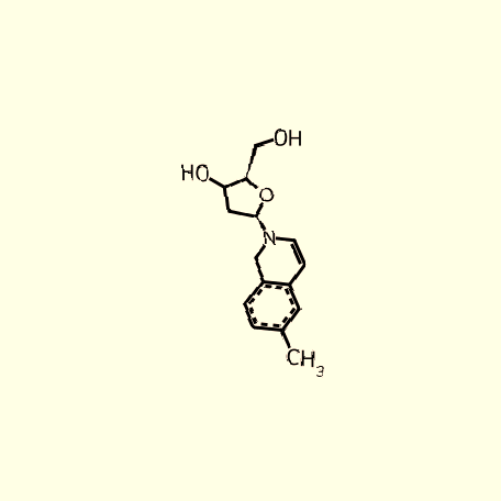 Cc1ccc2c(c1)C=CN([C@H]1CC(O)[C@@H](CO)O1)C2